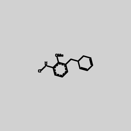 COc1c(CC2C=CC=CC2)cccc1PCl